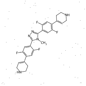 Cn1c(-c2cc(F)c(C3=CCNCC3)cc2F)nnc1-c1cc(F)c(C2=CCNCC2)cc1F